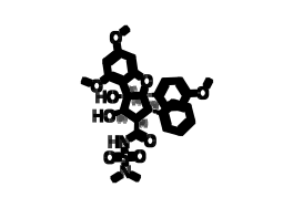 COc1ccc([C@@]23Oc4cc(OC)cc(OC)c4[C@]2(O)[C@H](O)[C@H](C(=O)NS(=O)(=O)N(C)C)[C@H]3c2ccccc2)cc1